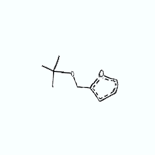 CC(C)(C)OCc1ccco1